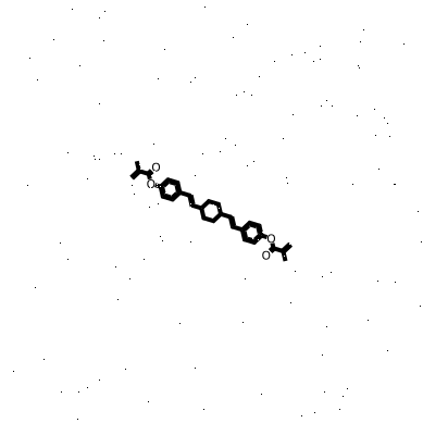 C=C(C)C(=O)Oc1ccc(/C=C/C2CCC(/C=C/c3ccc(OC(=O)C(=C)C)cc3)CC2)cc1